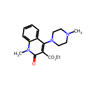 CCOC(=O)c1c(N2CCN(C)CC2)c2ccccc2n(C)c1=O